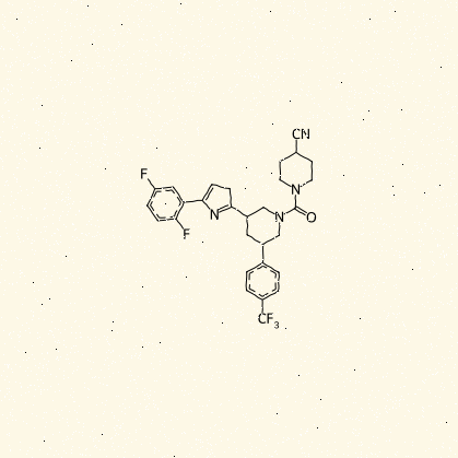 N#CC1CCN(C(=O)N2CC(C3=NC(c4cc(F)ccc4F)=CC3)CC(c3ccc(C(F)(F)F)cc3)C2)CC1